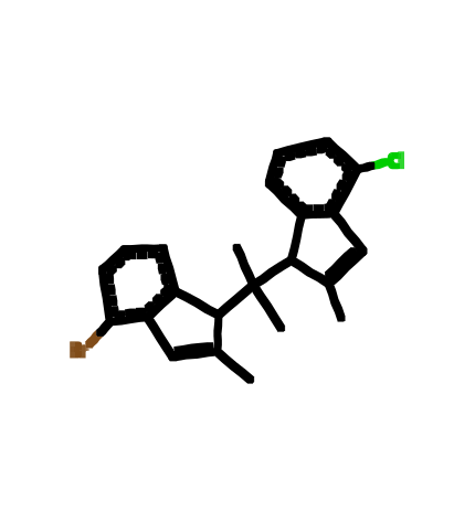 CC1=Cc2c(Cl)cccc2C1C(C)(C)C1C(C)=Cc2c(Br)cccc21